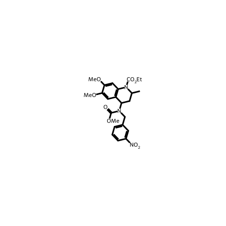 CCOC(=O)N1c2cc(OC)c(OC)cc2C(N(Cc2cccc([N+](=O)[O-])c2)C(=O)OC)CC1C